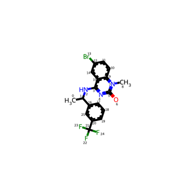 CC(Nc1nc(=O)n(C)c2ccc(Br)cc12)c1cccc(C(F)(F)F)c1